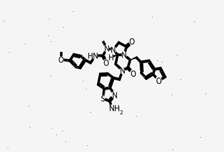 COc1ccc(CNC(=O)N(C)N2CC(=O)N3[C@@H](Cc4ccc5occc5c4)C(=O)N(Cc4cccc5sc(N)nc45)C[C@@H]32)cc1